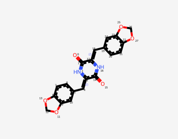 O=c1[nH]/c(=C\c2ccc3c(c2)OCO3)c(=O)[nH]/c1=C\c1ccc2c(c1)OCO2